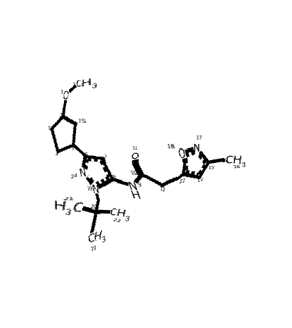 COC1CCC(c2cc(NC(=O)Cc3cc(C)no3)n(C(C)(C)C)n2)C1